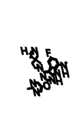 CCC1(CN)CCN(c2nc(Oc3cnc(C)nc3)nc3[nH]c4c(NC)cc(F)cc4c23)C1